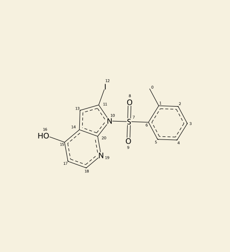 Cc1ccccc1S(=O)(=O)n1c(I)cc2c(O)ccnc21